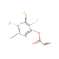 Cc1c(F)c(F)c(F)c(OC(=O)C(C)(C)C)c1F